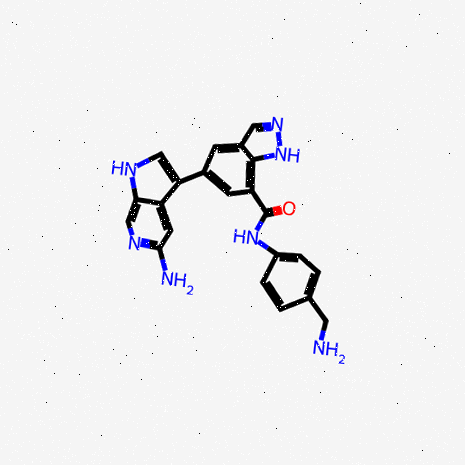 NCc1ccc(NC(=O)c2cc(-c3c[nH]c4cnc(N)cc34)cc3cn[nH]c23)cc1